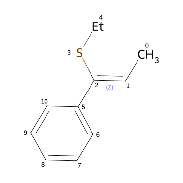 C/C=C(\SCC)c1ccccc1